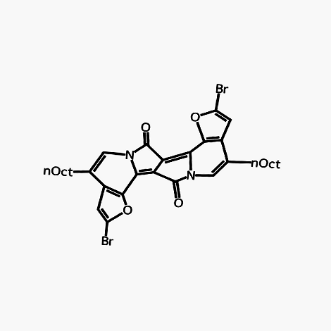 CCCCCCCCC1=CN2C(=O)C3=C4c5oc(Br)cc5C(CCCCCCCC)=CN4C(=O)C3=C2c2oc(Br)cc21